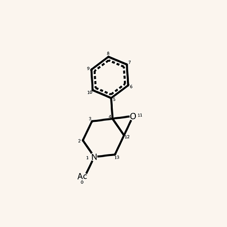 CC(=O)N1CCC2(c3ccccc3)OC2C1